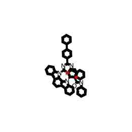 c1ccc(-c2ccc(-c3nc(-c4ccccc4)nc(-n4c5ccccc5c5ccc6c7ccccc7n(-c7ccccc7-c7nc8ccccc8o7)c6c54)n3)cc2)cc1